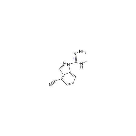 CN/C(=N\N)n1ncc2c(C#N)cccc21